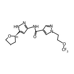 O=C(Nc1cc([C@H]2C[CH]CO2)[nH]n1)c1cnn(CCOC(F)(F)F)c1